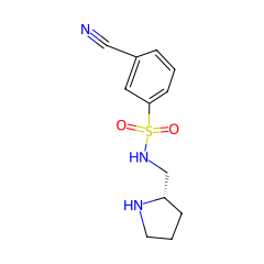 N#Cc1cccc(S(=O)(=O)NC[C@@H]2CCCN2)c1